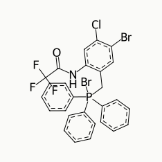 O=C(Nc1cc(Cl)c(Br)cc1CP(Br)(c1ccccc1)(c1ccccc1)c1ccccc1)C(F)(F)F